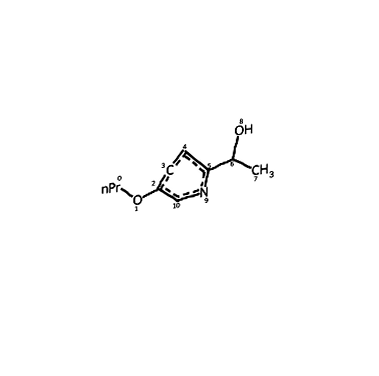 CCCOc1ccc(C(C)O)nc1